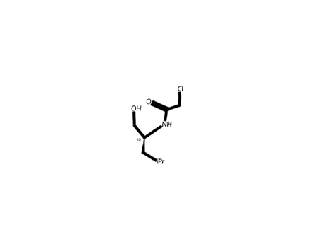 CC(C)C[C@@H](CO)NC(=O)CCl